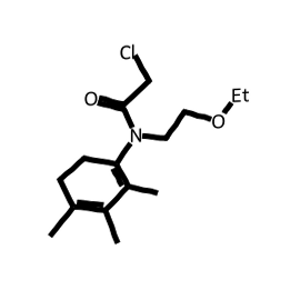 CCOCCN(C(=O)CCl)C1=C(C)C(C)=C(C)CC1